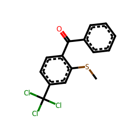 CSc1cc(C(Cl)(Cl)Cl)ccc1C(=O)c1ccccc1